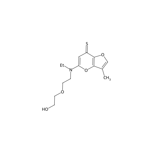 CCN(CCOCCO)c1cc(=S)c2occ(C)c2o1